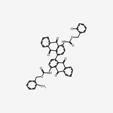 Cc1ccccc1COC(=O)Nc1ccc(-c2ccc(NC(=O)OCc3ccccc3Cl)c3c2C(=O)c2ccccc2C3=O)c2c1C(=O)c1ccccc1C2=O